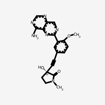 COc1ccc(C#C[C@]2(O)CCN(C)C2=O)cc1-c1ncc2ncnc(N)c2n1